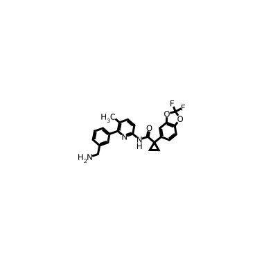 Cc1ccc(NC(=O)C2(c3ccc4c(c3)OC(F)(F)O4)CC2)nc1-c1cccc(CN)c1